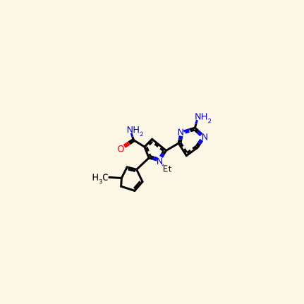 CCn1c(-c2ccnc(N)n2)cc(C(N)=O)c1C1=CC(C)CC=C1